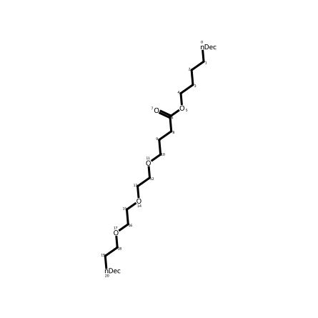 CCCCCCCCCCCCCCOC(=O)CCCOCCOCCOCCCCCCCCCCCC